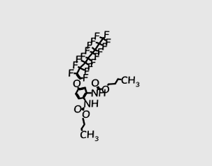 CCCCOC(=O)Nc1ccc(OC(F)=C(F)C(F)(F)C(F)(F)C(F)(F)C(F)(F)C(F)(F)C(F)(F)C(F)(F)F)cc1NC(=O)OCCCC